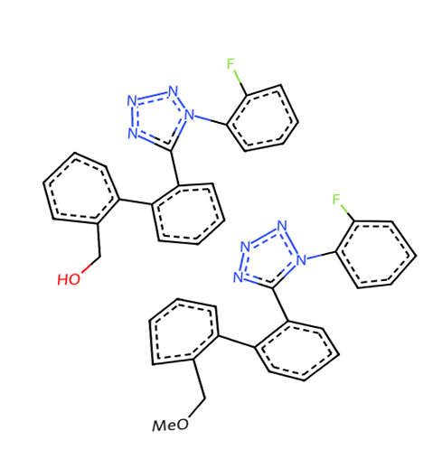 COCc1ccccc1-c1ccccc1-c1nnnn1-c1ccccc1F.OCc1ccccc1-c1ccccc1-c1nnnn1-c1ccccc1F